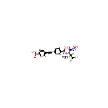 CC(=O)NC(C)(C(F)F)[C@H](NC(=O)c1ccc(C#Cc2ccc(C(N)=O)cc2)cc1)C(=O)NO